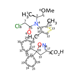 COC[C@H](C)N(C(=O)CCl)c1c(C)csc1C.O=C(O)C1=NOC(c2ccccc2)(c2ccccc2)C1